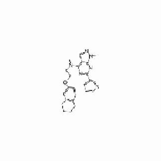 CN(CCOc1ccc2c(c1)CCCC2)c1nc(-c2cccnc2)nc2c1cnn2C